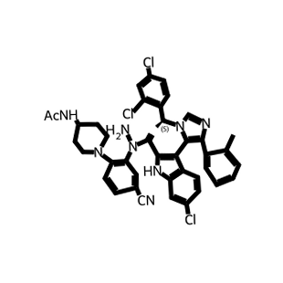 C=C(c1[nH]c2cc(Cl)ccc2c1-c1c(-c2ccccc2C)ncn1[C@@H](C)c1ccc(Cl)cc1Cl)N(N)c1cc(C#N)ccc1N1CCC(NC(C)=O)CC1